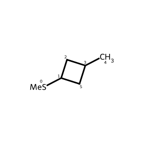 CSC1CC(C)C1